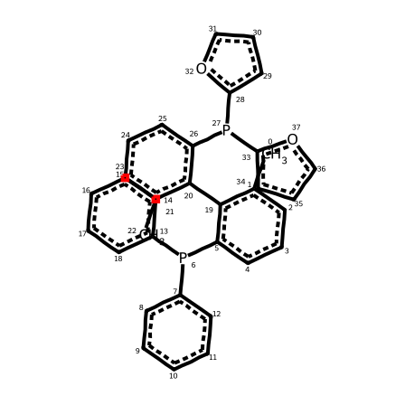 Cc1cccc(P(c2ccccc2)c2ccccc2)c1-c1c(C)cccc1P(c1ccco1)c1ccco1